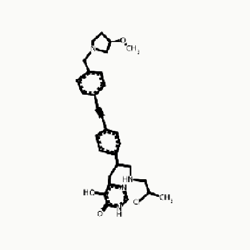 CO[C@@H]1CCN(Cc2ccc(C#Cc3ccc(C(CNCC(C)Cl)Cc4nc[nH]c(=O)c4O)cc3)cc2)C1